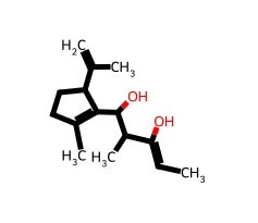 C=C(C)C1CCC(C)=C1C(O)C(C)C(O)=CC